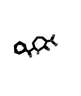 O=C(c1ccccc1)C1CCCC([N+](=O)[O-])C(=O)N1